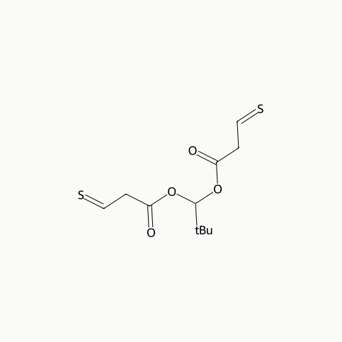 CC(C)(C)C(OC(=O)CC=S)OC(=O)CC=S